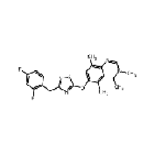 CCN(C)/C=N\c1cc(C)c(Oc2nc(Cc3ccc(F)cc3F)ns2)cc1C